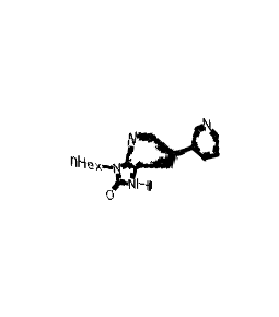 CCCCCCn1c(=O)[nH]c2cc(-c3cccnc3)cnc21